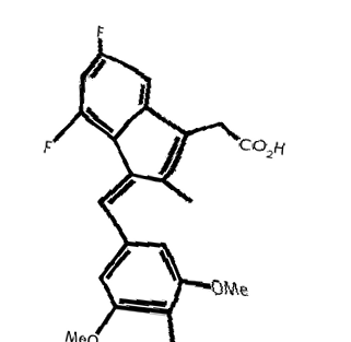 COc1cc(/C=C2\C(C)=C(CC(=O)O)c3cc(F)cc(F)c32)cc(OC)c1OC